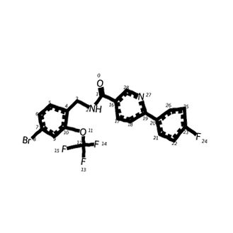 O=C(NCc1ccc(Br)cc1OC(F)(F)F)c1ccc(-c2ccc(F)cc2)nc1